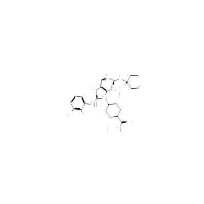 CC1(Nc2ncc3nc(Nc4cccc(C(F)(F)F)c4F)n(C4CCC(C(N)=O)CC4)c3n2)CCOCC1